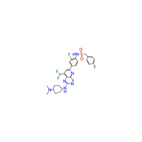 CN(C)[C@H]1CC[C@H](Nc2ncc3nc(-c4ccc(NS(=O)(=O)Cc5ccc(F)cc5)c(F)c4)cc(C(F)F)c3n2)CC1